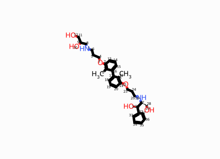 Cc1c(OCCCNCC(O)CO)cccc1-c1cccc(OCCCN[C@H](CO)[C@H](O)c2ccccc2)c1C